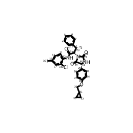 C[C@@H](c1ccccc1)[C@@H](C(=O)Nc1ccc(I)cc1Cl)N1C(=O)N[C@H](c2ccc(OCC3CC3)cc2)C1=O